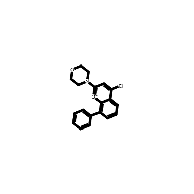 Clc1cc(N2CCOCC2)[o+]c2c(-c3ccccc3)cccc12